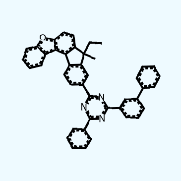 CCC1(C)c2cc(-c3nc(-c4ccccc4)nc(-c4cccc(-c5ccccc5)c4)n3)ccc2-c2c1ccc1oc3ccccc3c21